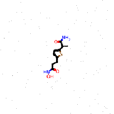 CC(C(N)=O)c1ccc(C[CH]C(=O)NO)s1